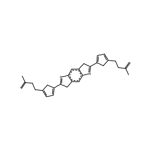 C=C(C)CCC1=CC=C(C2=Nc3cc4c(cc3C2)N=C(C2=CC=C(CCC(=C)C)C2)C4)C1